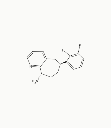 N[C@H]1CC[C@H](c2cccc(F)c2F)Cc2cccnc21